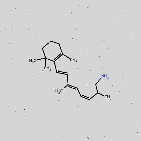 CC1=C(/C=C/C(C)=C/C=C\C(C)CN)C(C)(C)CCC1